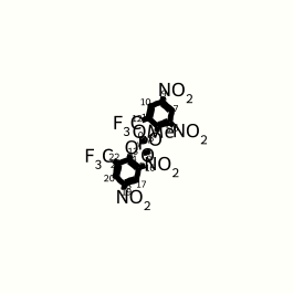 COP(=O)(Oc1c([N+](=O)[O-])cc([N+](=O)[O-])cc1C(F)(F)F)Oc1c([N+](=O)[O-])cc([N+](=O)[O-])cc1C(F)(F)F